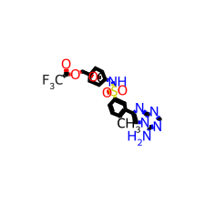 Cc1ccc(S(=O)(=O)NC23CCC(COC(=O)C(F)(F)F)(CC2)OC3)cc1-c1cn2c(N)ncnc2n1